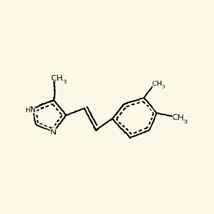 Cc1ccc(C=Cc2nc[nH]c2C)cc1C